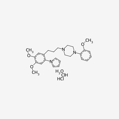 COc1cc(CCCN2CCN(c3ccccc3OC)CC2)c(-n2cccc2)cc1OC.Cl.Cl.O